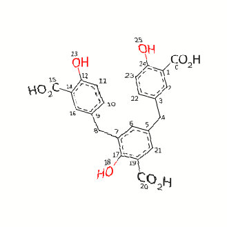 O=C(O)c1cc(Cc2cc(Cc3ccc(O)c(C(=O)O)c3)c(O)c(C(=O)O)c2)ccc1O